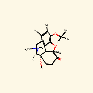 [2H]O[C@@]12CCC(=O)C3([2H])Oc4c(OC([2H])([2H])[2H])c([2H])c([2H])c5c4[C@@]31CCN(C)[C@@H]2C5